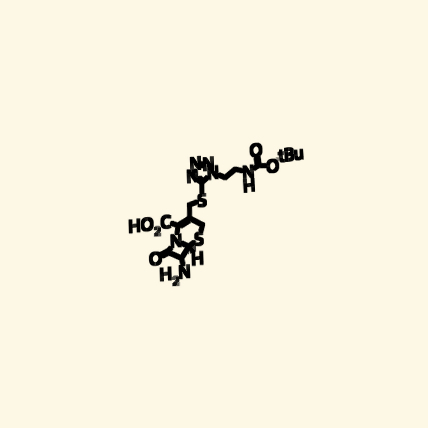 CC(C)(C)OC(=O)NCCn1nnnc1SCC1=C(C(=O)O)N2C(=O)C(N)[C@H]2SC1